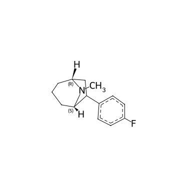 CN1[C@@H]2CCC[C@H]1C(c1ccc(F)cc1)C2